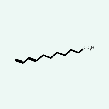 C=C/C=C/CCCCCCC(=O)O